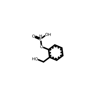 O=[PH](O)Oc1ccccc1CO